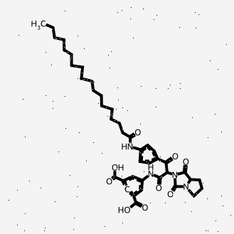 CCCCCCCCCCCCCCCCCC(=O)Nc1ccc(C(=O)C(C(=O)Nc2cc(C(=O)O)cc(C(=O)O)c2)N2C(=O)C3CCCN3C2=O)cc1